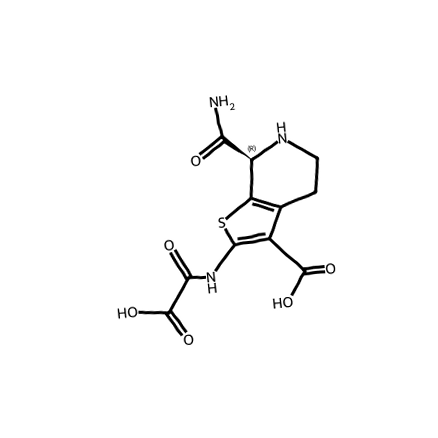 NC(=O)[C@H]1NCCc2c1sc(NC(=O)C(=O)O)c2C(=O)O